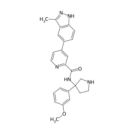 COc1cccc(C2(NC(=O)c3cc(-c4ccc5[nH]nc(C)c5c4)ccn3)CCNC2)c1